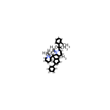 Cc1ccccc1C(C)(C)c1cccc(C(C)(c2cc(-c3ccccc3)ccc2C)c2cccc[n+]2C)[n+]1C